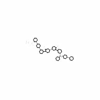 Cc1ccccc1-c1ccc(-c2cccc3c2sc2cc(-c4ccc5sc6ccc(N(c7ccccc7)c7ccc(-c8ccccc8)cc7)cc6c5c4)ccc23)cc1